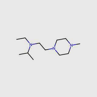 CCN(CCN1CCN(C)CC1)C(C)C